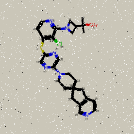 CC(C)(O)C1CN(c2nccc(Sc3cnc(N4CCC5(CC4)Cc4ccncc4C5)cn3)c2Cl)C1